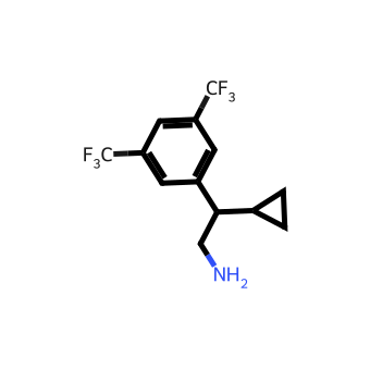 NCC(c1cc(C(F)(F)F)cc(C(F)(F)F)c1)C1CC1